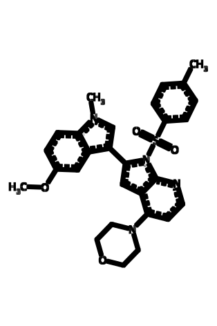 COc1ccc2c(c1)c(-c1cc3c(N4CCOCC4)ccnc3n1S(=O)(=O)c1ccc(C)cc1)cn2C